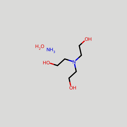 N.O.OCCN(CCO)CCO